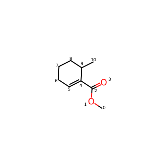 COC(=O)C1=CCCCC1C